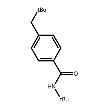 CC(C)(C)Cc1ccc(C(=O)NC(C)(C)C)cc1